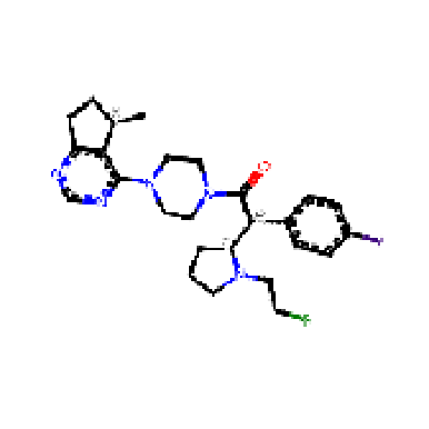 C[C@@H]1CCc2ncnc(N3CCN(C(=O)[C@@H](c4ccc(I)cc4)[C@@H]4CCCN4CCF)CC3)c21